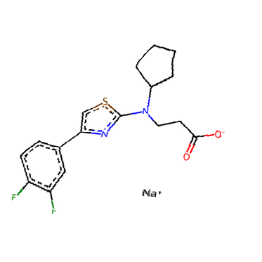 O=C([O-])CCN(c1nc(-c2ccc(F)c(F)c2)cs1)C1CCCC1.[Na+]